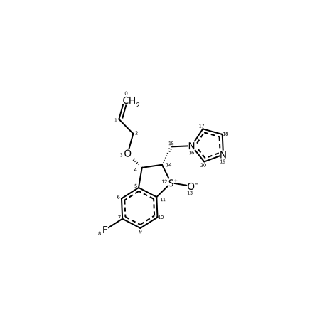 C=CCO[C@H]1c2cc(F)ccc2[S+]([O-])[C@H]1Cn1ccnc1